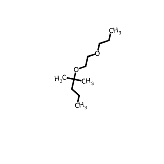 CCCOCCOC(C)(C)CCC